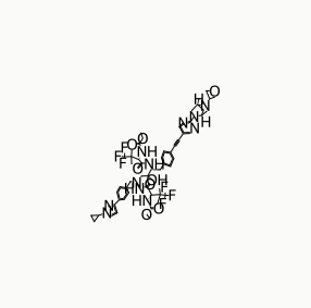 COC(=O)N[C@H](C(=O)N[C@@H](Cc1ccc(C#Cc2cnc(N3C[C@H]4C[C@@H]3CN4C3COC3)nc2)cc1)[C@@H](O)CN(Cc1ccc(-c2ccn(C3CC3)n2)cc1)NC(=O)[C@@H](NC(=O)OC)C(C)(C)C(F)(F)F)C(C)(C)C(F)(F)F